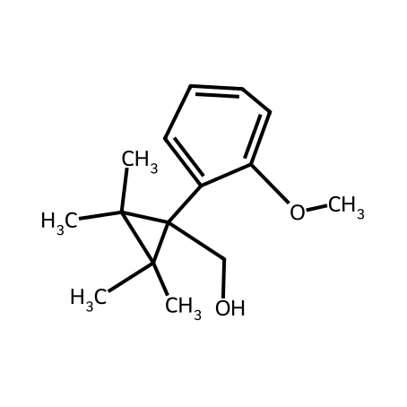 COc1ccccc1C1(CO)C(C)(C)C1(C)C